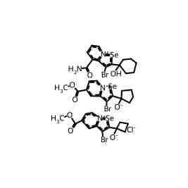 COC(=O)c1cc[n+]2[se]c(C3([O-])CCC3)c(Br)c2c1.COC(=O)c1cc[n+]2[se]c(C3([O-])CCCC3)c(Br)c2c1.NC(=O)c1ccc[n+]2[se]c(C3(O)CCCCC3)c(Br)c12.[Cl-]